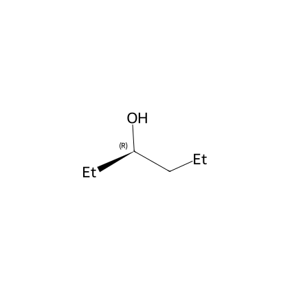 [CH2]C[C@@H](O)CCC